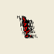 COc1ccc(NC(=O)[C@@H](CCCNC(=N)N)NC(=O)c2cc(NC(=O)[C@@H](CCCNC(=N)N)NC(=O)c3cc(NC(=O)[C@@H](CCCNC(=N)N)NC(=O)c4cc(NC(=O)[C@@H](C)NC(=O)CCN)ccc4OC)ccc3OC)ccc2OC)cc1C(=O)NCCCCCN